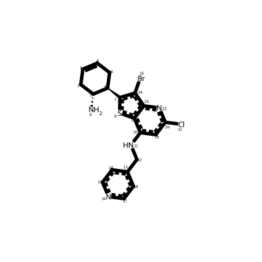 N[C@@H]1CC=CC[C@H]1c1sc2c(NCc3ccncc3)cc(Cl)nc2c1Br